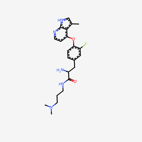 Cc1c[nH]c2nccc(Oc3ccc(CC(N)C(=O)NCCCN(C)C)cc3F)c12